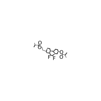 C=C(C)C(=O)OCCc1ccc2c(c1)c(F)c(F)c1cc(OC(=O)C(=C)C)ccc12